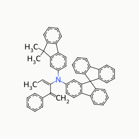 C=C(/C(=C\C)N(c1ccc2c(c1)C(C)(C)c1ccccc1-2)c1ccc2c(c1)C1(c3ccccc3-c3ccccc31)c1ccccc1-2)c1ccccc1